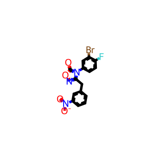 O=c1onc(Cc2cccc([N+](=O)[O-])c2)n1-c1ccc(F)c(Br)c1